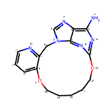 Nc1nc2nc3c1ncn3Cc1ncccc1OCCCCCO2